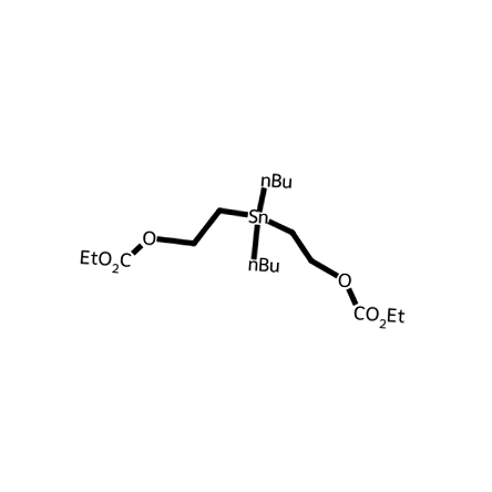 CCC[CH2][Sn]([CH2]CCC)([CH2]COC(=O)OCC)[CH2]COC(=O)OCC